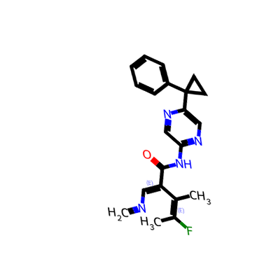 C=N/C=C(C(=O)Nc1cnc(C2(c3ccccc3)CC2)cn1)\C(C)=C(/C)F